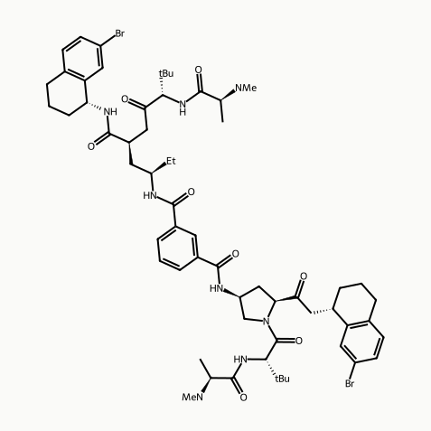 CC[C@H](C[C@H](CC(=O)[C@@H](NC(=O)[C@H](C)NC)C(C)(C)C)C(=O)N[C@@H]1CCCc2ccc(Br)cc21)NC(=O)c1cccc(C(=O)N[C@H]2C[C@@H](C(=O)C[C@@H]3CCCc4ccc(Br)cc43)N(C(=O)[C@@H](NC(=O)[C@H](C)NC)C(C)(C)C)C2)c1